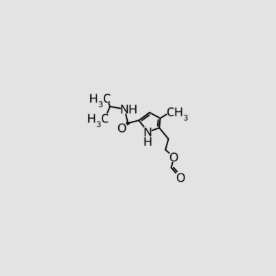 Cc1cc(C(=O)NC(C)C)[nH]c1CCOC=O